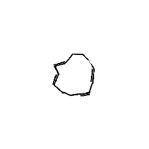 [C]1=C/CC/C=C/C=C\CCC/C=C/1